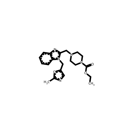 CCOC(=O)N1CCN(Cc2nc3ccccc3n2Cc2cnc(C)o2)CC1